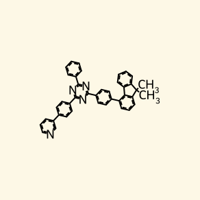 CC1(C)c2ccccc2-c2c(-c3ccc(-c4nc(-c5ccccc5)nc(-c5ccc(-c6cccnc6)cc5)n4)cc3)cccc21